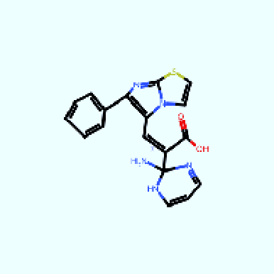 NC1(/C(=C/c2c(-c3ccccc3)nc3sccn23)C(=O)O)N=CC=CN1